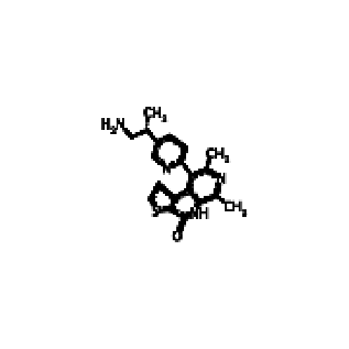 Cc1nc(C)c2[nH]c(=O)c3sccc3c2c1-c1ccc([C@@H](C)CN)cn1